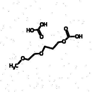 COCCOCCCOC(=O)O.O=C(O)O